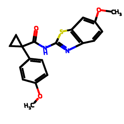 COc1ccc(C2(C(=O)Nc3nc4ccc(OC)cc4s3)CC2)cc1